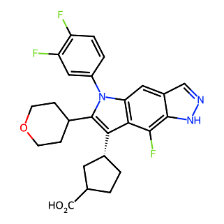 O=C(O)C1CC[C@@H](c2c(C3CCOCC3)n(-c3ccc(F)c(F)c3)c3cc4cn[nH]c4c(F)c23)C1